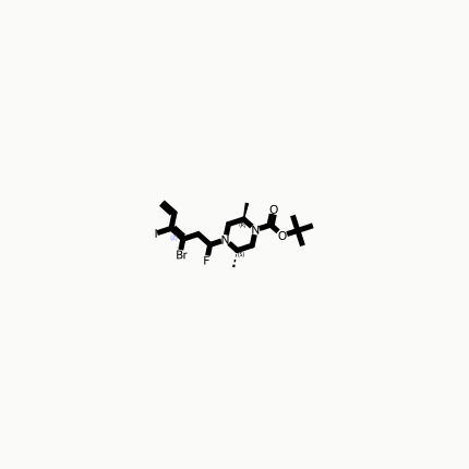 C=C/C(I)=C(/Br)CC(F)N1C[C@@H](C)N(C(=O)OC(C)(C)C)C[C@@H]1C